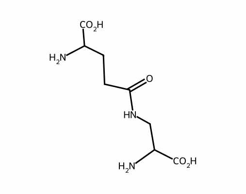 NC(CCC(=O)NCC(N)C(=O)O)C(=O)O